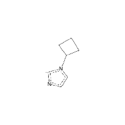 [c]1nccn1C1CCC1